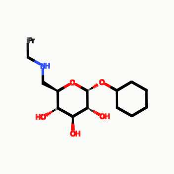 CC(C)CNC[C@H]1O[C@H](OC2CCCCC2)[C@H](O)[C@@H](O)[C@@H]1O